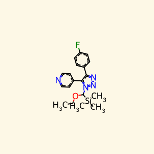 CCOC(n1nnc(-c2ccc(F)cc2)c1-c1ccncc1)[Si](C)(C)C